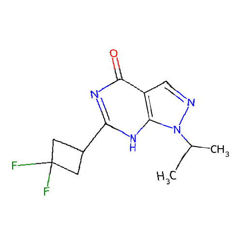 CC(C)n1ncc2c(=O)nc(C3CC(F)(F)C3)[nH]c21